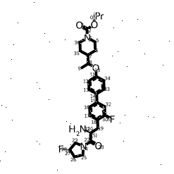 CC(C)OC(=O)N1CCC(C(C)Oc2ccc(-c3ccc(C[C@H](N)C(=O)N4CC[C@H](F)C4)c(F)c3)cc2)CC1